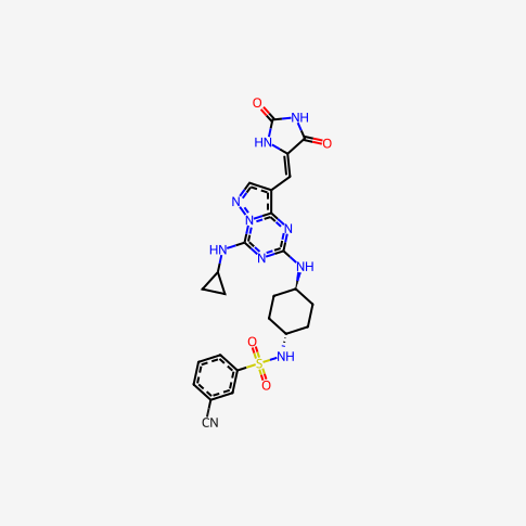 N#Cc1cccc(S(=O)(=O)N[C@H]2CC[C@H](Nc3nc(NC4CC4)n4ncc(/C=C5\NC(=O)NC5=O)c4n3)CC2)c1